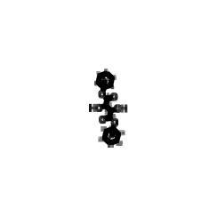 O=C(OC12CCC(CC1)CC2)C(O)C(O)C(=O)OC12CCC(CC1)CC2